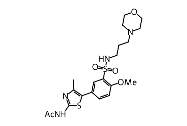 COc1ccc(-c2sc(NC(C)=O)nc2C)cc1S(=O)(=O)NCCCN1CCOCC1